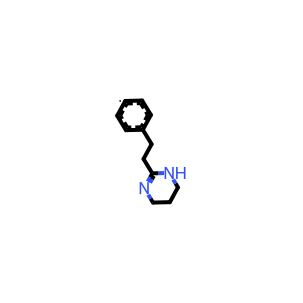 [c]1ccc(CCC2=NCCCN2)cc1